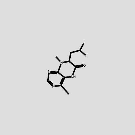 Cc1ncnc2c1NC(=O)C(CC(F)F)N2C